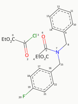 CCOC(=O)C(=O)Cl.CCOC(=O)C(=O)N(Cc1ccccc1)Cc1ccc(F)cc1